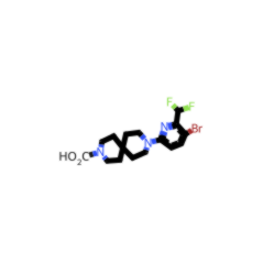 O=C(O)N1CCC2(CC1)CCN(c1ccc(Br)c(C(F)F)n1)CC2